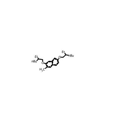 CCCCC(CC)COc1ccc2cc(C)c(OCC(CC)CCCC)cc2c1